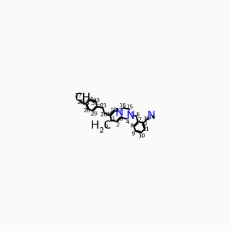 C=C1C=C2CN(Cc3ccccc3C#N)CCN2C=C1CCc1ccc(CC)cc1